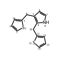 c1csc(Cc2cc[nH]c2Cc2cccs2)c1